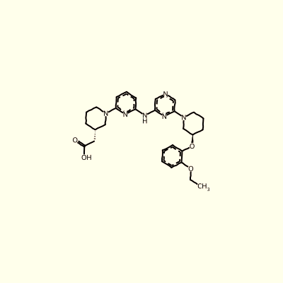 CCOc1ccccc1O[C@@H]1CCCN(c2cncc(Nc3cccc(N4CCC[C@@H](CC(=O)O)C4)n3)n2)C1